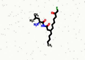 CCCCCC(CCCCCC(=O)CF)CC(=O)NC(=O)[C@@H](N)CC(C)C